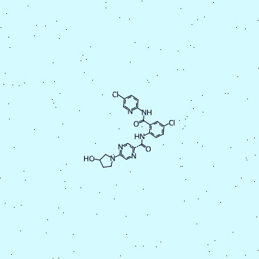 O=C(Nc1ccc(Cl)cc1C(=O)Nc1ccc(Cl)cn1)c1cnc(N2CCC(O)C2)cn1